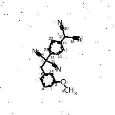 COc1cccc(CC(C#N)(C#N)c2ccc(C(C#N)C#N)cc2)c1